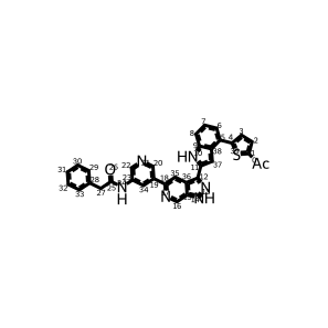 CC(=O)c1ccc(-c2cccc3[nH]c(-c4n[nH]c5cnc(-c6cncc(NC(=O)Cc7ccccc7)c6)cc45)cc23)s1